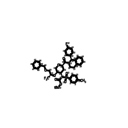 Cc1ccc(S(=O)(=O)N(C(=O)OC(C)(C)C)[C@H]2C[C@H](C(=O)N3CCc4ccccc4[C@@H]3c3ccc(F)cc3)OC[C@@H]2O[C@@H](COCc2ccccc2)C(F)(F)F)cc1